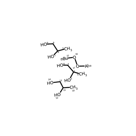 CC(O)CO.CC(O)CO.CC(O)CO.CCCCO[O][Al]